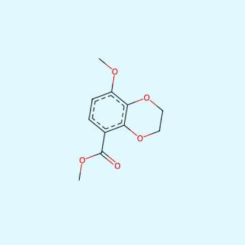 COC(=O)c1ccc(OC)c2c1OCCO2